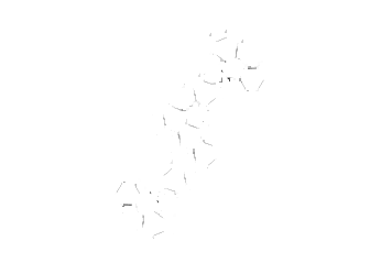 c1cc(-c2ccc(-n3c4ccccc4c4ccccc43)cc2)c2cc3cccc(-c4ccc(-n5c6ccccc6c6ccccc65)cc4)c3cc2c1